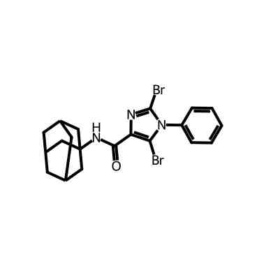 O=C(NC12CC3CC(CC(C3)C1)C2)c1nc(Br)n(-c2ccccc2)c1Br